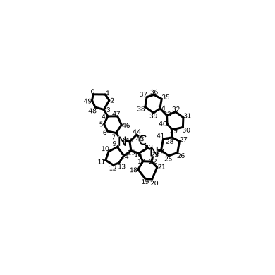 C1CCC(C2CCC(N3C4CCCCC4C4C5C6CCCCC6N(C6CCCC(C7CCCC(C8CCCCC8)C7)C6)C5CCC43)CC2)CC1